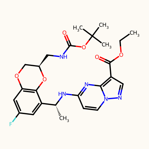 CCOC(=O)c1cnn2ccc(N[C@H](C)c3cc(F)cc4c3O[C@H](CNC(=O)OC(C)(C)C)CO4)nc12